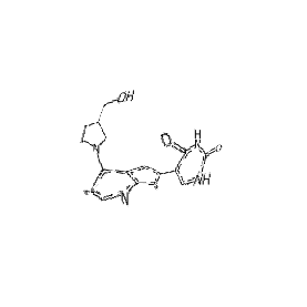 O=c1[nH]cc(-c2cc3c(N4CCC(CO)C4)ncnc3s2)c(=O)[nH]1